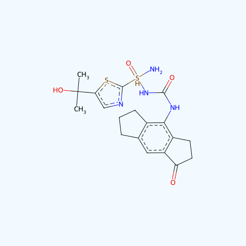 CC(C)(O)c1cnc([SH](N)(=O)NC(=O)Nc2c3c(cc4c2CCC4=O)CCC3)s1